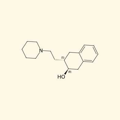 O[C@@H]1Cc2ccccc2C[C@H]1CCN1CCCCC1